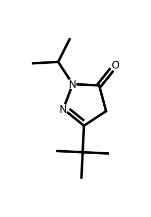 CC(C)N1N=C(C(C)(C)C)CC1=O